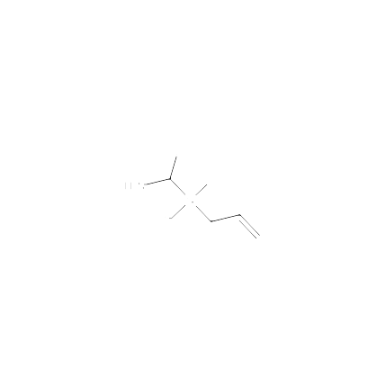 C=CC[Si](Cl)(Cl)C(N)CC